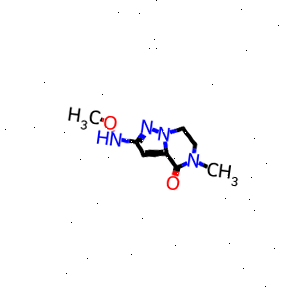 CONc1cc2n(n1)CCN(C)C2=O